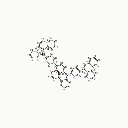 c1ccc(-c2ccccc2N(c2ccc(-c3ccc(-n4c5ccccc5c5ccc6ccccc6c54)cc3)cc2)c2ccc(-c3cc4ccccc4c4ccccc34)cc2)cc1